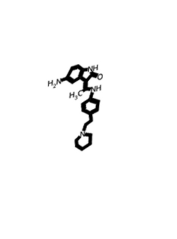 C/C(Nc1ccc(CCN2CCCCC2)cc1)=C1/C(=O)Nc2ccc(N)cc21